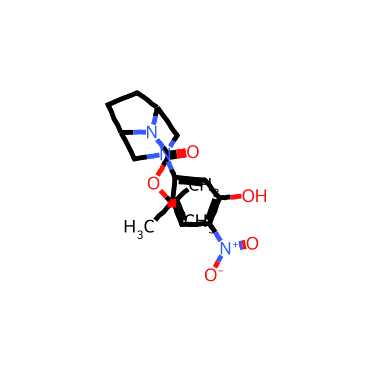 CC(C)(C)OC(=O)N1C2CCC1CN(c1ccc([N+](=O)[O-])c(O)c1)C2